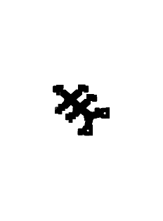 FC(F)(F)C(F)(F)[C](Cl)Cl